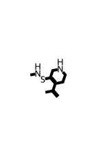 C=C(C)C1=C(SNC)CNCC1